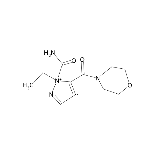 CC[N+]1(C(N)=O)N=C[C]=C1C(=O)N1CCOCC1